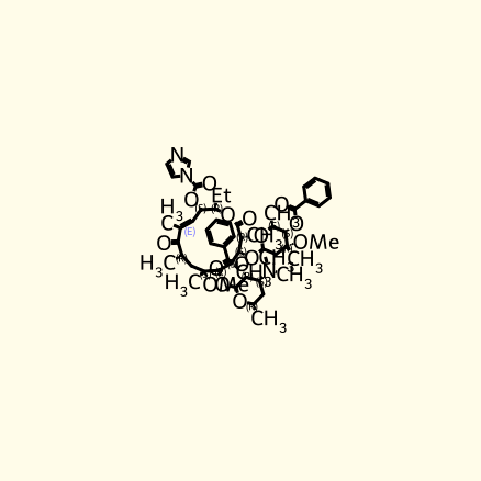 CC[C@H]1OC(=O)[C@H](C)[C@@H](OC2C[C@@](C)(OC)[C@@H](OC(=O)c3ccccc3)[C@H](C)O2)[C@H](C)[C@@H](OC2O[C@H](C)C[C@H](N(C)C)[C@H]2OC(=O)c2ccccc2)[C@@](C)(OC)C[C@@H](C)C(=O)/C(C)=C/[C@@H]1OC(=O)n1ccnc1